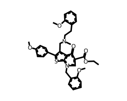 CCOC(=O)c1cn(Cc2ccccc2OC)c2sc(-c3ccc(OC)cc3)c(CN(C)CCc3ccccc3OC)c2c1=O